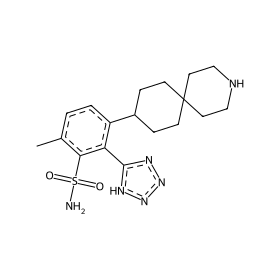 Cc1ccc(C2CCC3(CCNCC3)CC2)c(-c2nnn[nH]2)c1S(N)(=O)=O